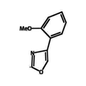 COc1ccccc1-c1co[c]n1